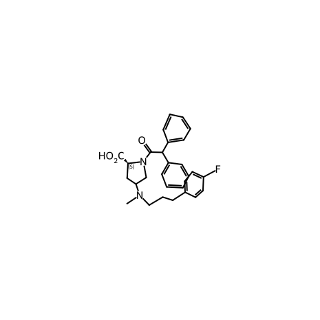 CN(CCCc1ccc(F)cc1)C1C[C@@H](C(=O)O)N(C(=O)C(c2ccccc2)c2ccccc2)C1